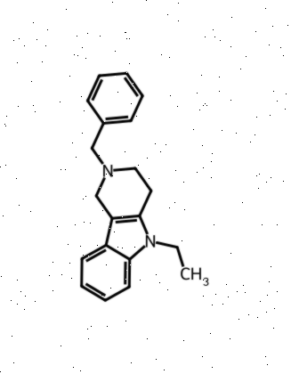 CCn1c2c(c3ccccc31)CN(Cc1ccccc1)CC2